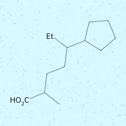 CCC(CCC(C)C(=O)O)C1CCCC1